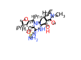 C=C(N[C@@H](c1cc(C(C)C)co1)C(C)C)/C(=N\[S+](N)[O-])Nc1ccc(C(F)(F)F)c(C(=O)N(C)C)c1O